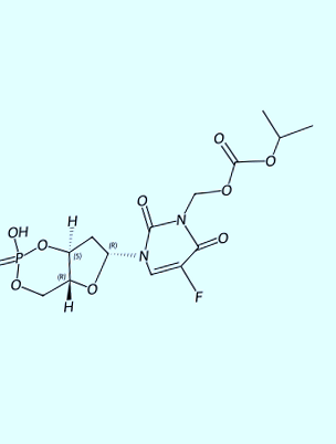 CC(C)OC(=O)OCn1c(=O)c(F)cn([C@H]2C[C@@H]3OP(=O)(O)OC[C@H]3O2)c1=O